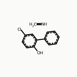 C=N.Oc1ccc(Cl)cc1-c1ccccc1